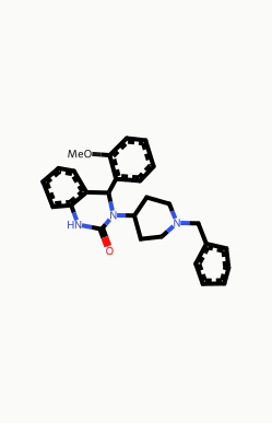 COc1ccccc1C1c2ccccc2NC(=O)N1C1CCN(Cc2ccccc2)CC1